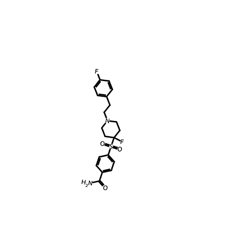 NC(=O)c1ccc(S(=O)(=O)C2(F)CCN(CCc3ccc(F)cc3)CC2)cc1